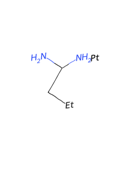 CCCC(N)N.[Pt]